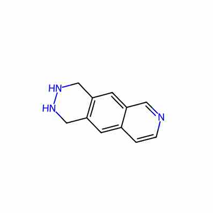 c1cc2cc3c(cc2cn1)CNNC3